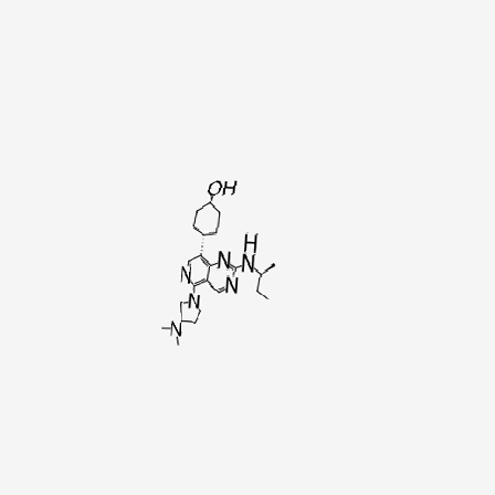 CC[C@H](C)Nc1ncc2c(N3CC[C@@H](N(C)C)C3)ncc([C@H]3CC[C@H](O)CC3)c2n1